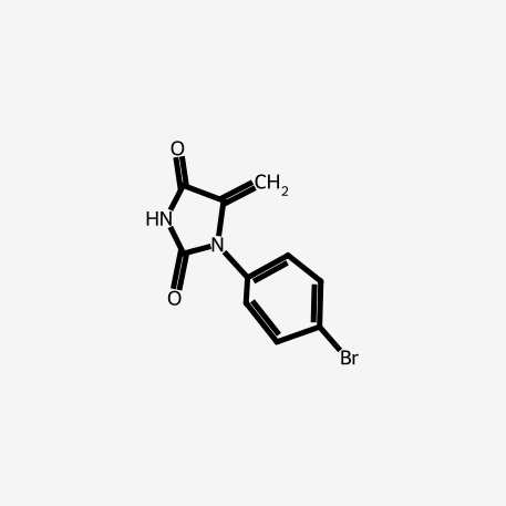 C=C1C(=O)NC(=O)N1c1ccc(Br)cc1